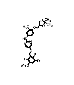 CCc1cc(OC)c(F)c(COc2cnc(Nc3ccc(OCC4COC(C)(C)O4)c(C)c3)nc2)c1F